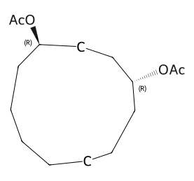 CC(=O)O[C@@H]1CCCCCCC[C@@H](OC(C)=O)CC1